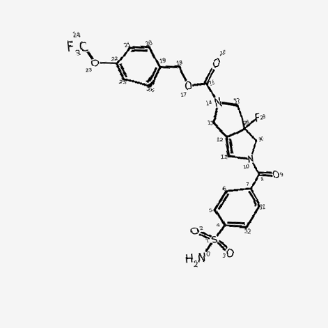 NS(=O)(=O)c1ccc(C(=O)N2C=C3CN(C(=O)OCc4ccc(OC(F)(F)F)cc4)CC3(F)C2)cc1